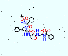 CCCC(NC(=O)[C@@H]1C[C@@H](c2ccccc2)CN1C(=O)[C@@H](NC(=O)OC(C)(C)C)C1CCCCC1)C(=O)C(=O)NCC(=O)N[C@H](C(=O)OC)c1ccccc1